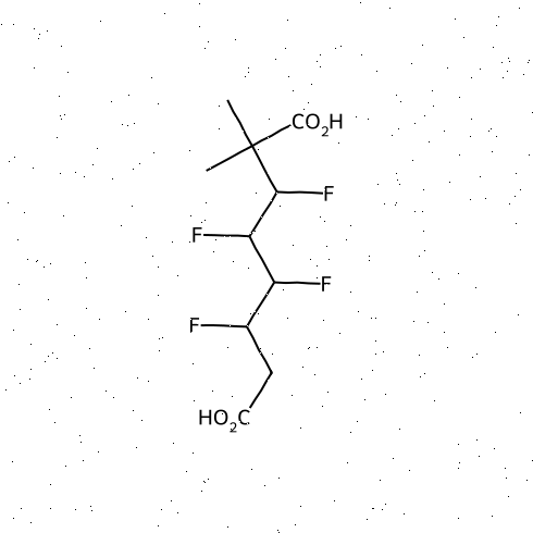 CC(C)(C(=O)O)C(F)C(F)C(F)C(F)CC(=O)O